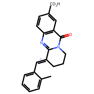 Cc1ccccc1/C=C1\CCCn2c1nc1ccc(C(=O)O)cc1c2=O